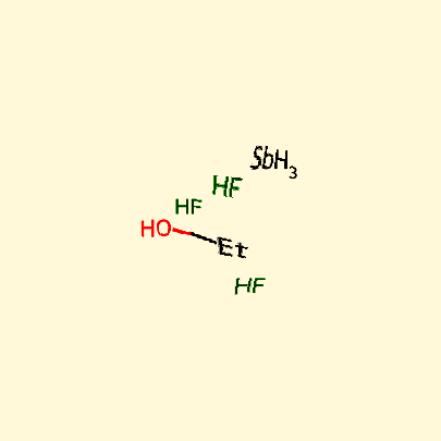 CCO.F.F.F.[SbH3]